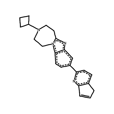 C1=Cc2nc(-c3ccc4c(c3)nc3n4CCN(C4CCC4)CC3)ccc2C1